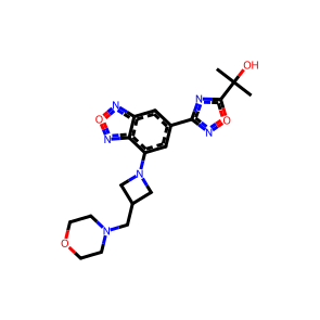 CC(C)(O)c1nc(-c2cc(N3CC(CN4CCOCC4)C3)c3nonc3c2)no1